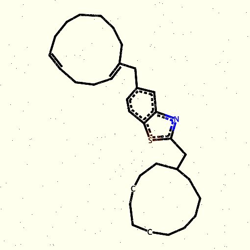 C1=C\CCCCCC/C(Cc2ccc3sc(CC4CCCCCCCCCCC4)nc3c2)=C\CC/1